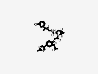 CC(=O)c1nn(CC(=O)N2[C@@H]3C[C@@H]3C[C@H]2C(=O)NC/C(F)=C(\C)c2cccc(Cl)c2)c2ccc(-c3cnc(C)nc3)cc12